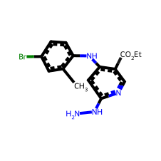 CCOC(=O)c1cnc(NN)cc1Nc1ccc(Br)cc1C